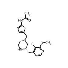 COc1nccc(C[C@H]2CN(Cc3cnc(NC(C)=O)s3)CCN2)c1F